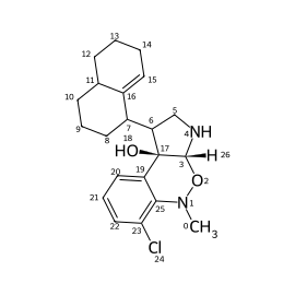 CN1O[C@H]2NCC(C3CCCC4CCCC=C43)[C@@]2(O)c2cccc(Cl)c21